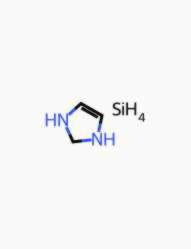 C1=CNCN1.[SiH4]